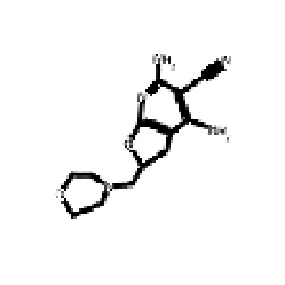 N#Cc1c(N)nc2c(c1N)CC(CN1CCOCC1)O2